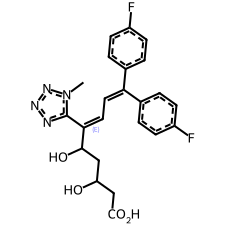 Cn1nnnc1/C(=C\C=C(c1ccc(F)cc1)c1ccc(F)cc1)C(O)CC(O)CC(=O)O